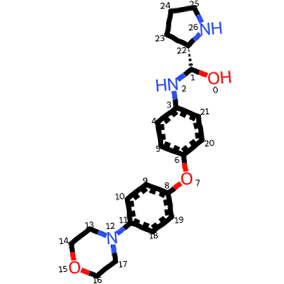 OC(Nc1ccc(Oc2ccc(N3CCOCC3)cc2)cc1)[C@@H]1CCCN1